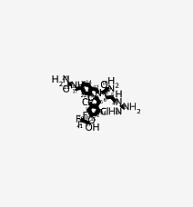 N=C(N)NCCC[C@H](C(N)=O)N(Cc1ccc(CNC(N)=O)cc1)C(=O)Cc1c(Cl)cccc1Cl.O=C(O)C(F)(F)F